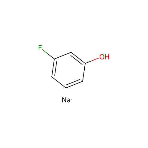 Oc1cccc(F)c1.[Na]